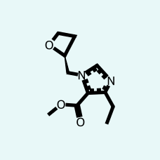 CCc1ncn(C[C@@H]2CCO2)c1C(=O)OC